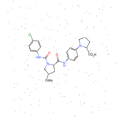 COC1CC(C(=O)Nc2ccc(N3CCCC3C(=O)O)cc2)N(C(=O)Nc2ccc(Cl)cc2)C1